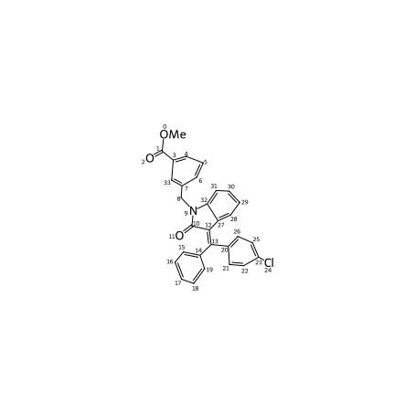 COC(=O)c1cccc(CN2C(=O)/C(=C(\c3ccccc3)c3ccc(Cl)cc3)c3ccccc32)c1